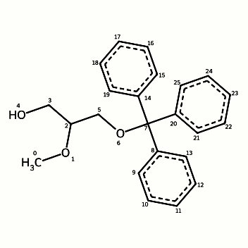 COC(CO)COC(c1ccccc1)(c1ccccc1)c1ccccc1